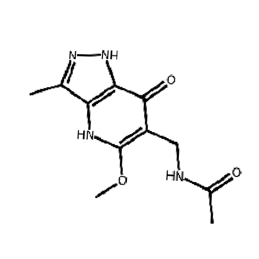 COc1[nH]c2c(C)n[nH]c2c(=O)c1CNC(C)=O